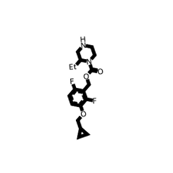 CCC1CNCCN1C(=O)OCc1c(F)ccc(OCC2CC2)c1F